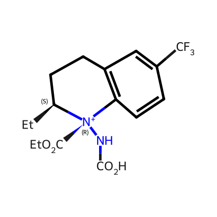 CCOC(=O)[N@+]1(NC(=O)O)c2ccc(C(F)(F)F)cc2CC[C@@H]1CC